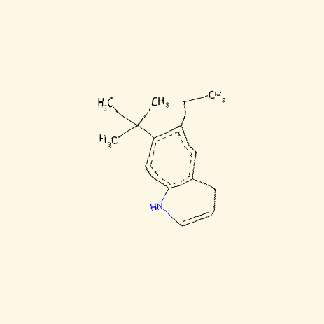 CCc1cc2c(cc1C(C)(C)C)NC=CC2